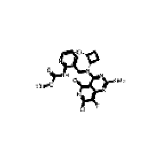 CSc1nc(N(Cc2cccnc2NC(=O)OC(C)(C)C)[C@H]2CC[C@H]2O)c2c(Cl)nc(Cl)c(F)c2n1